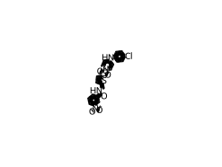 O=C(NCc1ccc(S(=O)(=O)N2CCC(Nc3ccc(Cl)cc3)CC2)s1)c1cccc([N+](=O)[O-])c1